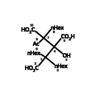 CCCCCCC(CCCCCC)(C(=O)O)C(O)(C(=O)O)C(CCCCCC)(C(C)=O)C(=O)O